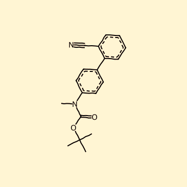 CN(C(=O)OC(C)(C)C)c1ccc(-c2ccccc2C#N)cc1